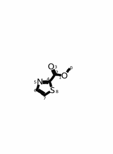 [CH2]OC(=O)c1nccs1